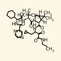 CCCNC(=O)C(=O)C(CC1CC1)NC(=O)[C@@H]1[C@@H]2[C@H](CN1C(=O)[C@@H](NC(=O)[C@@H](NC(=O)c1cnccn1)C1CCCCC1)C(C)(C)C)C2(C)C